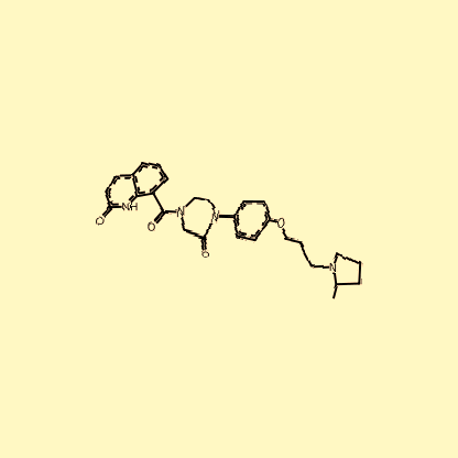 CC1CCCN1CCCOc1ccc(N2CCN(C(=O)c3cccc4ccc(=O)[nH]c34)CC2=O)cc1